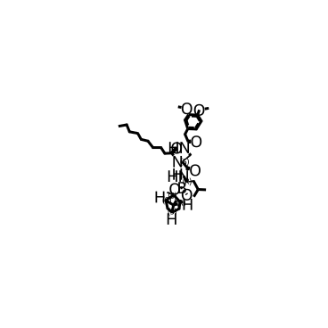 CCCCCCCCCC(=O)N[C@@H](CNC(=O)Cc1ccc(OC)c(OC)c1)C(=O)N[C@@H](CC(C)C)B1O[C@@H]2C[C@@H]3C[C@@H](C3(C)C)[C@]2(C)O1